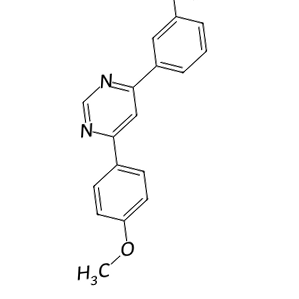 COc1ccc(-c2cc(-c3cccc(C)c3)ncn2)cc1